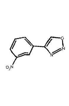 O=[N+]([O-])c1cccc(-c2conn2)c1